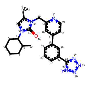 CCCCc1cn(C2CCCCC2C)c(=O)n1Cc1cc(-c2cccc(-c3nnn[nH]3)c2)ccn1